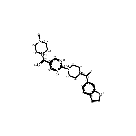 CC(c1ccc2c(c1)OCC2)N1CCN(c2ncc(C(=O)N3CCN(C)CC3)cn2)CC1